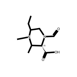 CCC1CN(C=O)[C@H](C(=O)O)C(C)N1C